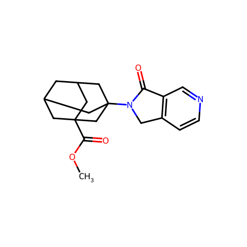 COC(=O)C12CC3CC(C1)CC(N1Cc4ccncc4C1=O)(C3)C2